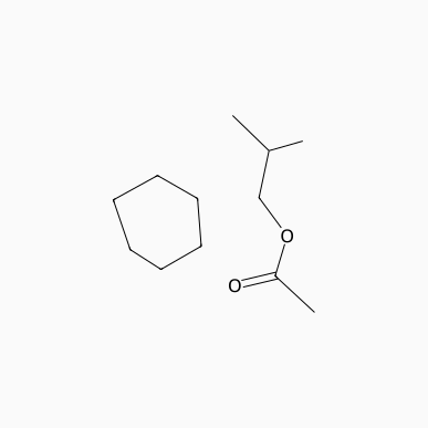 C1CCCCC1.CC(=O)OCC(C)C